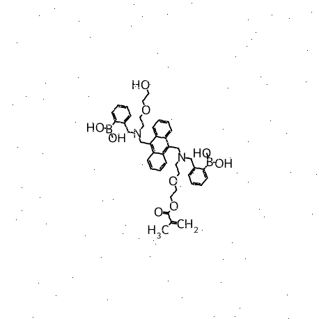 C=C(C)C(=O)OCCOCCN(Cc1ccccc1B(O)O)Cc1c2ccccc2c(CN(CCOCCO)Cc2ccccc2B(O)O)c2ccccc12